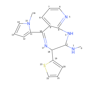 CNC1Nc2ncccc2C(c2cccn2C)=NC1c1cccs1